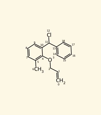 C=CCOc1c(C)cccc1C(Cl)c1ccccc1